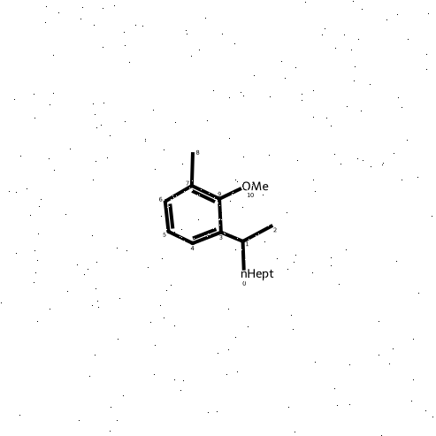 CCCCCCCC(C)c1cccc(C)c1OC